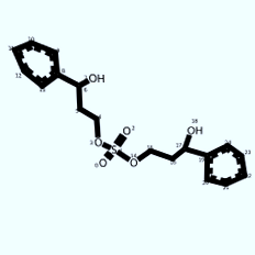 O=S(=O)(OCCC(O)c1ccccc1)OCCC(O)c1ccccc1